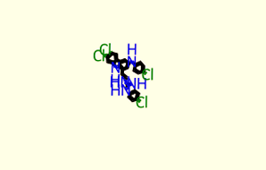 N=C(NCCc1cc(Nc2ccc(Cl)cc2)cc2c1[nH]c1cc(Cl)c(Cl)cc12)Nc1ccc(Cl)cc1